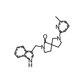 Cc1cccc(N2CCC3(CCN(Cc4c[nH]c5ccccc45)C3=O)C2)n1